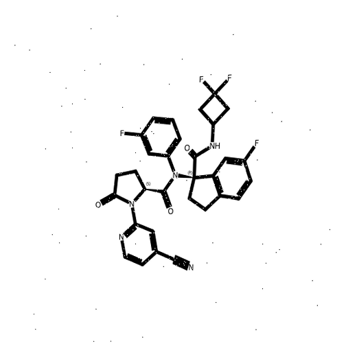 N#Cc1ccnc(N2C(=O)CC[C@H]2C(=O)N(c2cccc(F)c2)[C@]2(C(=O)NC3CC(F)(F)C3)CCc3ccc(F)cc32)c1